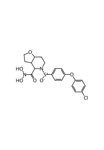 O=C(C1C2CCOC2CCN1[S+]([O-])c1ccc(Oc2ccc(Cl)cc2)cc1)N(O)O